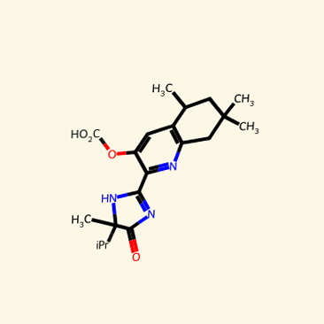 CC1CC(C)(C)Cc2nc(C3=NC(=O)C(C)(C(C)C)N3)c(OC(=O)O)cc21